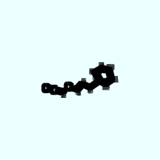 O=C=COC=CCc1ccccc1